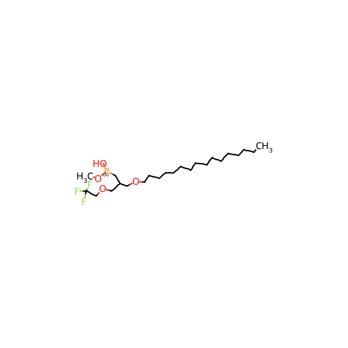 CCCCCCCCCCCCCCCCOCC(COCC(F)(F)F)C[P@](O)OC